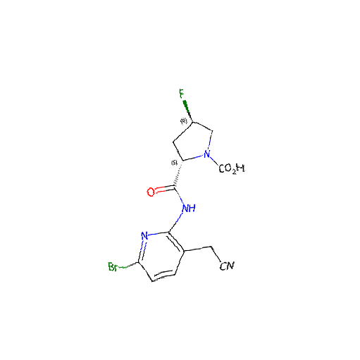 N#CCc1ccc(Br)nc1NC(=O)[C@@H]1C[C@@H](F)CN1C(=O)O